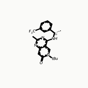 Cc1nc(N[C@@H](C)c2cccc(C(F)(F)F)c2)c2cn(C(C)(C)C)c(=O)cc2n1